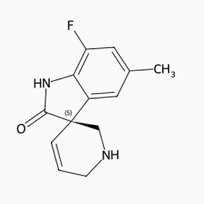 Cc1cc(F)c2c(c1)[C@]1(C=CCNC1)C(=O)N2